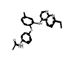 CCc1ccc2c(Nc3cc(C)ccc3Sc3ccc(NC(C)=O)cc3)ccnc2n1